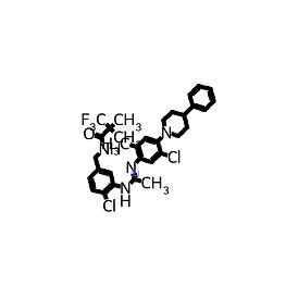 C/C(=N\c1cc(Cl)c(N2CCC(c3ccccc3)CC2)cc1C)Nc1cc(CNC(=O)C(C)(C)C(F)(F)F)ccc1Cl